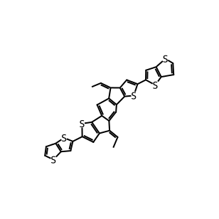 C/C=C1/c2cc3c(cc2-c2sc(-c4cc5sccc5s4)cc21)/C(=C\C)c1cc(-c2cc4sccc4s2)sc1-3